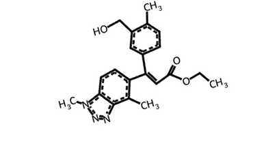 CCOC(=O)C=C(c1ccc(C)c(CO)c1)c1ccc2c(nnn2C)c1C